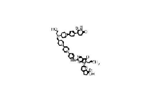 C=CCn1c(=O)c2cnc(Nc3ccc(N4CCC(N5CCC(CN(CCO)C6CCN(c7ccc(C8CCC(=O)NC8=O)cc7)CC6)CC5)CC4)cc3)nc2n1-c1ccc2c(n1)[C@@](O)(CC)CC2